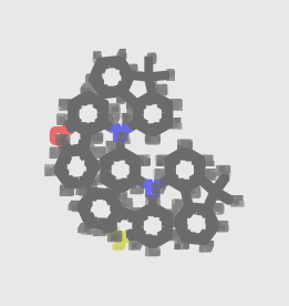 CC1(C)c2ccccc2-c2c(N(c3cccc(N(c4cccc5c4-c4ccccc4C5(C)C)c4cccc5sc6ccccc6c45)c3)c3cccc4oc5ccccc5c34)cccc21